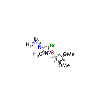 CCN(C)/C=N/c1cc(Br)c(OCc2cc(OC)cc(OC)c2)nc1C